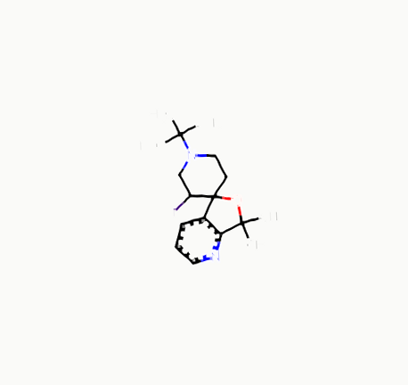 CC1(C)OC2(CCN(C(C)(C)C)CC2I)c2cccnc21